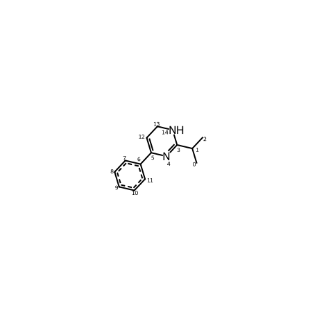 CC(C)C1=NC(c2ccccc2)=CCN1